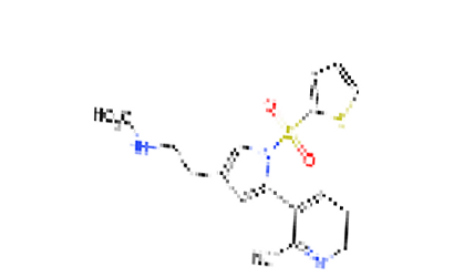 N#Cc1ncccc1-c1cc(CCNC(=O)O)cn1S(=O)(=O)c1cccs1